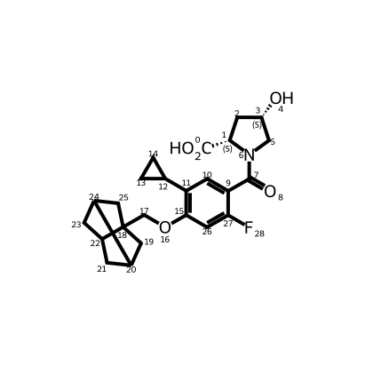 O=C(O)[C@@H]1C[C@H](O)CN1C(=O)c1cc(C2CC2)c(OCC23CC4CC2CC4C3)cc1F